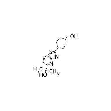 CC(C)(O)c1ccc2sc(C3CCC(CO)CC3)nc2n1